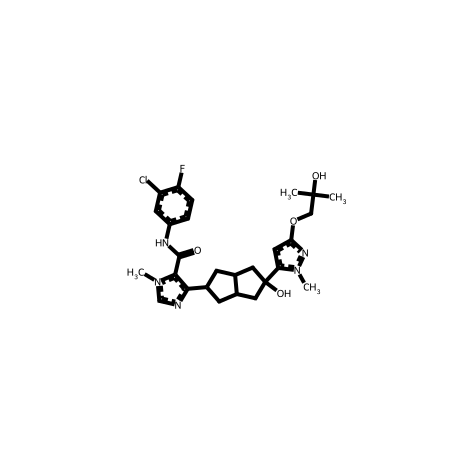 Cn1cnc(C2CC3CC(O)(c4cc(OCC(C)(C)O)nn4C)CC3C2)c1C(=O)Nc1ccc(F)c(Cl)c1